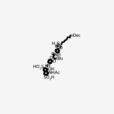 CCCCCCCCCCCCCCCCCCN(C)S(=O)(=O)c1ccc(NC(=O)C(Oc2ccc(N=Nc3c(S(=O)(=O)O)cc4cc(S(=O)(=O)O)cc(NC(C)=O)c4c3O)cc2)C(=O)C(C)(C)C)cc1